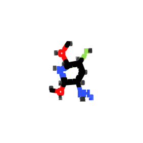 COc1nc(OC)c(F)cc1N